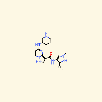 CN1C=C(NC(=O)C2=C3N=C(N[C@H]4CCCNC4)C=CN3NC2)C(C(F)(F)F)N1